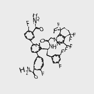 NC(=O)c1cc(-c2ccc(-c3ccc(F)c(C(N)=O)c3)c([C@H](Cc3cc(F)cc(F)c3)NC(=O)Cn3nc(C(F)F)c4c3C(F)(F)CCC4(F)F)n2)ccc1F